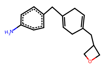 Nc1ccc(CC2=CCC(CC3COC3)=CC2)cc1